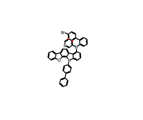 Brc1ccc(-c2ccccc2N(c2cccnc2)c2cccc3c2c2ccc4c5ccccc5oc4c2n3-c2ccc(-c3ccccc3)cc2)cc1